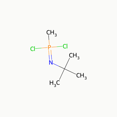 CC(C)(C)N=P(C)(Cl)Cl